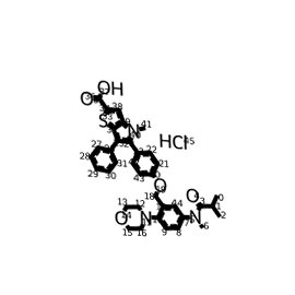 CC(C)C(=O)N(C)c1ccc(N2CCOCC2)c(COc2ccc(-c3c(-c4ccccc4)c4sc(C(=O)O)cc4n3C)cc2)c1.Cl